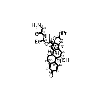 CCCC1O[C@@H]2C[C@H]3[C@@H]4CCC5=CC(=O)C=C[C@]5(C)[C@H]4[C@@H](O)C[C@]3(C)[C@]2(C(=O)COC(CC)NC(=O)CN)O1